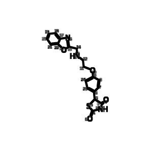 O=C1NC(=O)C(c2ccc(OCCNCc3nc4ccccc4o3)cc2)S1